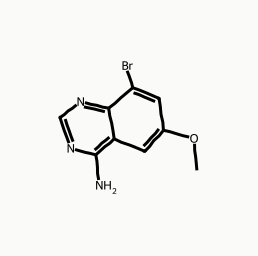 COc1cc(Br)c2ncnc(N)c2c1